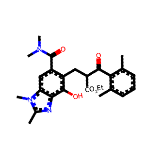 CCOC(=O)C(Cc1c(C(=O)N(C)C)cc2c(nc(C)n2C)c1O)C(=O)c1c(C)cccc1C